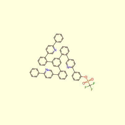 O=S(=O)(Oc1cccc(-c2ccc(-c3ccccc3-c3cc(-c4ccccc4-c4ccc(-c5ccccc5)nc4)cc(-c4ccccc4-c4ccc(-c5ccccc5)nc4)c3)cn2)c1)C(F)(F)F